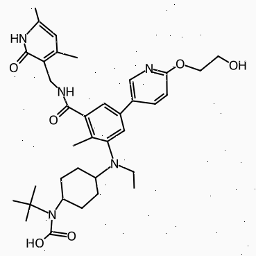 CCN(c1cc(-c2ccc(OCCO)nc2)cc(C(=O)NCc2c(C)cc(C)[nH]c2=O)c1C)C1CCC(N(C(=O)O)C(C)(C)C)CC1